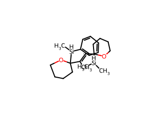 CC(=[C]C1([SiH](C)C)CCCCO1)C1([SiH](C)c2ccccc2)CCCCO1